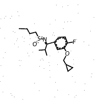 CCCC[S@+]([O-])/N=C(/c1ccc(F)c(OCC2CC2)c1)C(C)C